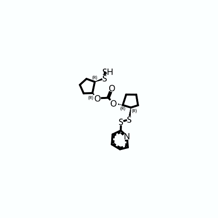 O=C(O[C@@H]1CCC[C@H]1SS)O[C@@H]1CCC[C@H]1SSc1ccccn1